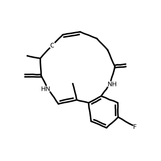 C=C1CCC=CCC(C)C(=C)N/C=C(\C)c2ccc(F)cc2N1